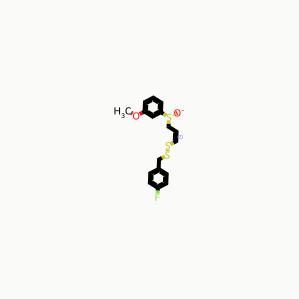 COc1cccc([S+]([O-])C/C=C\SSCc2ccc(F)cc2)c1